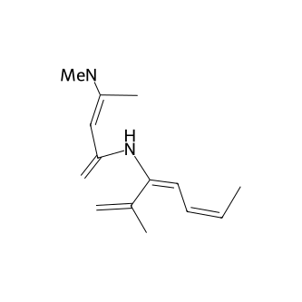 C=C(/C=C(\C)NC)N/C(=C/C=C\C)C(=C)C